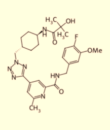 COc1cc(CNC(=O)c2cc(-c3nnn(C[C@H]4CC[C@H](NC(=O)C(C)(C)O)CC4)n3)cc(C)n2)ccc1F